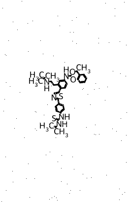 CC(C)NC(=S)Nc1ccc(-c2ncc(-c3ccc(NC(=O)OC(C)c4ccccc4)cc3CCNC(C)(C)C)s2)cc1